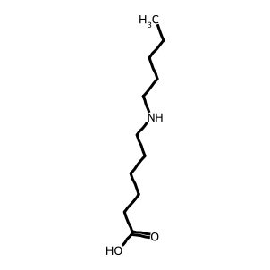 CCCCCNCCCCCC(=O)O